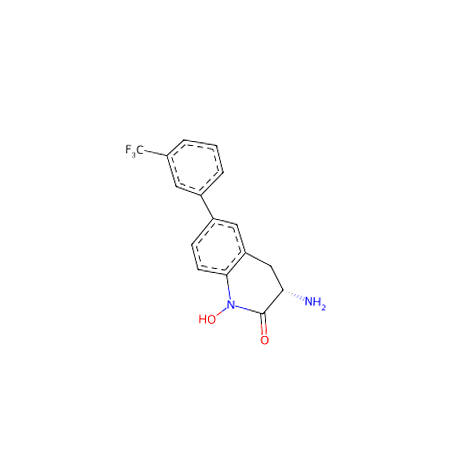 N[C@H]1Cc2cc(-c3cccc(C(F)(F)F)c3)ccc2N(O)C1=O